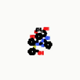 COc1cc(C(CCO)Nc2nc(NCc3ccccc3Sc3ccccc3CO)nc3ccccc23)ccc1O